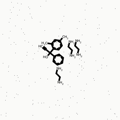 C#CC(O)(c1ccccc1)c1ccc(C)cc1C.NCCN.NCCN.NCCN